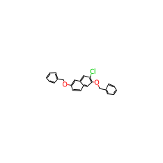 Clc1cc2cc(OCc3ccccc3)ccc2cc1OCc1ccccc1